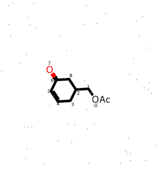 CC(=O)OCC1CC=CC(=O)C1